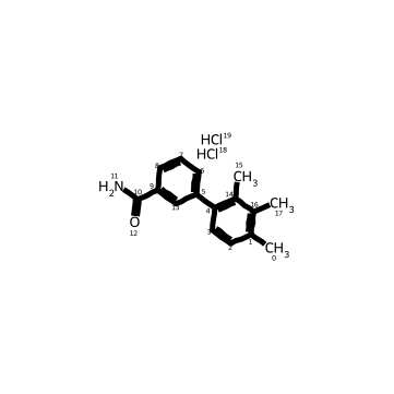 Cc1ccc(-c2cccc(C(N)=O)c2)c(C)c1C.Cl.Cl